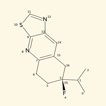 CC(C)[C@]1(F)CCc2nc3scnc3cc2C1